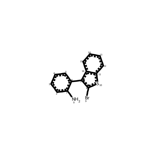 Nc1ccccc1-c1c(Br)sc2ccccc12